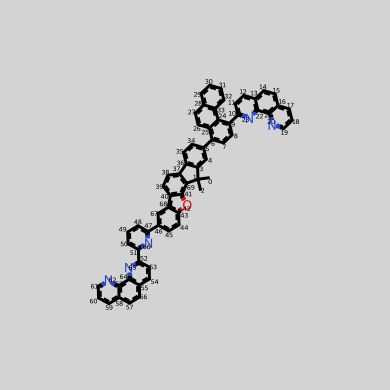 CC1(C)c2cc(-c3ccc(-c4ccc5ccc6cccnc6c5n4)c4c3ccc3ccccc34)ccc2-c2ccc3c(oc4ccc(-c5cccc(-c6ccc7ccc8cccnc8c7n6)n5)cc43)c21